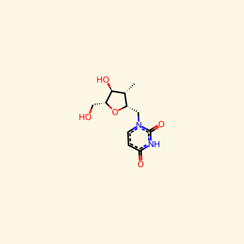 C[C@H]1[C@H](O)[C@@H](CO)O[C@H]1Cn1ccc(=O)[nH]c1=O